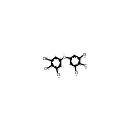 Clc1cc(Oc2cc(Cl)c(Cl)c(Cl)c2)cc(Cl)c1Cl